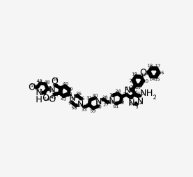 Nc1ncnc2c1C(c1ccc(Oc3ccccc3)cc1)=NC2C1CCN(CCN2CCC(CN3CCN(c4ccc5c(c4)C(=O)N(C4CCC(=O)NC4=O)C5=O)CC3)CC2)CC1